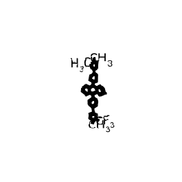 Cc1ccc(-c2ccc(-c3c4ccccc4c(-c4ccc(-c5ccc(C)c(C(F)(F)F)c5)cc4)c4ccccc34)cc2)cc1C